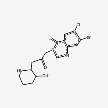 O=C(CC1NCCCC1O)Cn1cnc2cc(Br)c(Cl)cc2c1=O